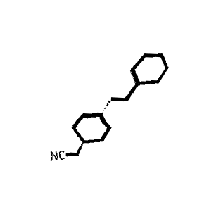 N#CC[C@H]1CC[C@H](CCC2CCCCC2)CC1